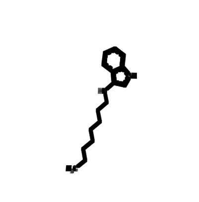 CCCCCCCCNc1c[nH]c2ccccc12